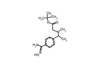 CC(c1ccc(C(N)=NO)cc1)N(C)CC(=O)OC(C)(C)C